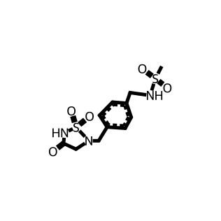 CS(=O)(=O)NCc1ccc(CN2CC(=O)NS2(=O)=O)cc1